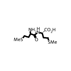 CSCCC(N)C(=O)N[C@@H](CCSC)C(=O)O